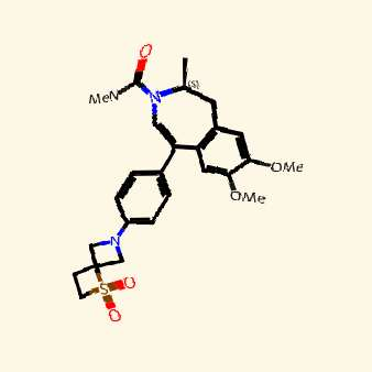 CNC(=O)N1C=C(c2ccc(N3CC4(CCS4(=O)=O)C3)cc2)c2cc(OC)c(OC)cc2C[C@@H]1C